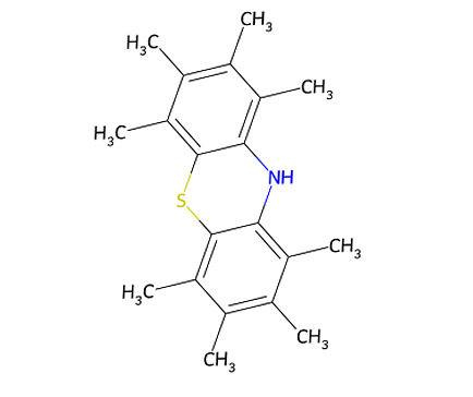 Cc1c(C)c(C)c2c(c1C)Nc1c(C)c(C)c(C)c(C)c1S2